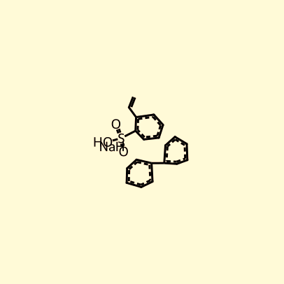 C=Cc1ccccc1S(=O)(=O)O.[NaH].c1ccc(-c2ccccc2)cc1